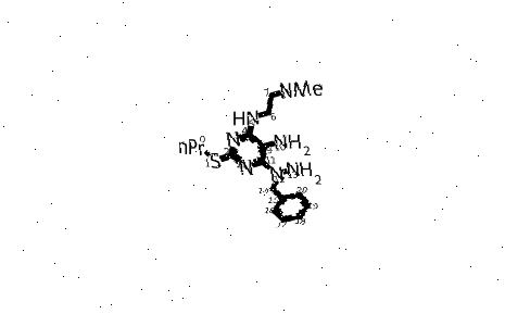 CCCSc1nc(NCCNC)c(N)c(N(N)Cc2ccccc2)n1